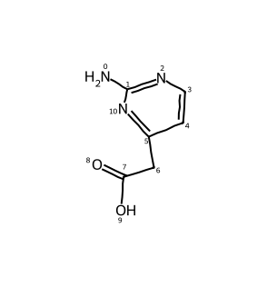 Nc1nccc(CC(=O)O)n1